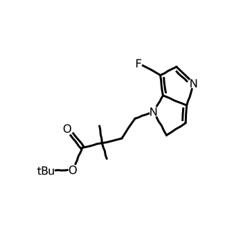 CC(C)(C)OC(=O)C(C)(C)CCN1CC=C2N=CC(F)=C21